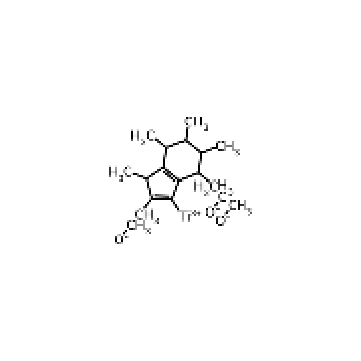 CC1=[C]([Ti+3])C2=C(C1C)C(C)C(C)C(C)C2C.C[O-].C[O-].C[O-]